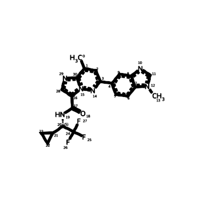 Cc1cc(-c2ccc3c(c2)ncn3C)nn2c(C(=O)N[C@@H](C3CC3)C(F)(F)F)cnc12